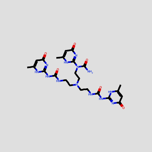 Cc1cc(=O)nc(NC(=O)NCCN(CCNC(=O)Nc2nc(=O)cc(C)[nH]2)CCN(C(N)=O)c2nc(=O)cc(C)[nH]2)[nH]1